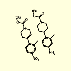 Cc1cc(N)ccc1C1CCN(C(=O)OC(C)(C)C)CC1.Cc1cc([N+](=O)[O-])ccc1C1=CCN(C(=O)OC(C)(C)C)CC1